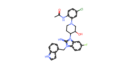 CC(=O)Nc1ccc(Cl)cc1N1CCC(n2c(=N)n(Cc3cccc4[nH]ccc34)c3ccc(F)cc32)C(O)C1